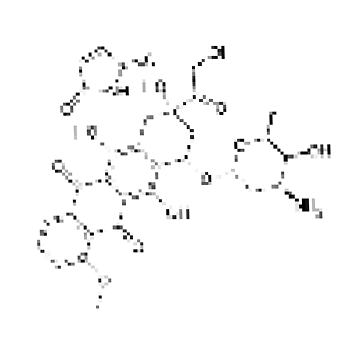 COc1cccc2c1C(=O)c1c(O)c3c(c(O)c1C2=O)C[C@@](O)(C(=O)CO)C[C@@H]3O[C@H]1C[C@H](N)[C@H](O)[C@H](C)O1.O=C1C=CC(=O)N1